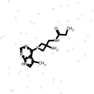 CCC(=O)NCC1(N)CN(c2ncnc3[nH]cc(C)c23)C1